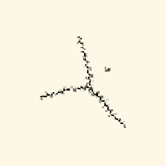 CCCCCCCCCCCCCCCCCC[N+](C)(CCCCCCCCCCCCCCCCCC)CCCCCCCCCCCCCCCCCC.[Br-]